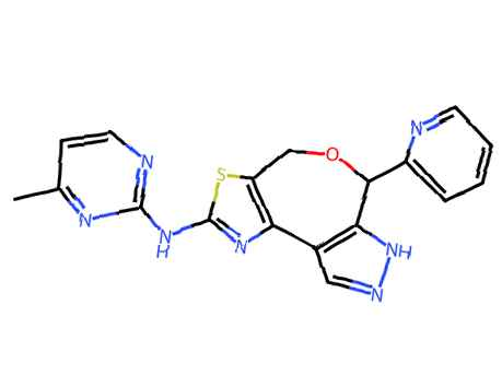 Cc1ccnc(Nc2nc3c(s2)COC(c2ccccn2)c2[nH]ncc2-3)n1